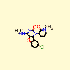 CNc1nc(=O)n(-c2cccn(C)c2=O)c2c1oc1ccc(Cl)cc12